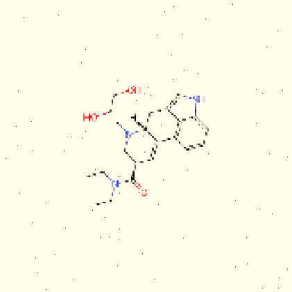 CCN(CC)C(=O)[C@@H]1C=C2c3cccc4[nH]cc(c34)C[C@H]2N(C)C1.OCCO